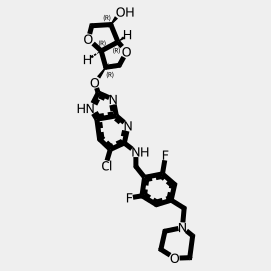 O[C@@H]1CO[C@H]2[C@@H]1OC[C@H]2Oc1nc2nc(NCc3c(F)cc(CN4CCOCC4)cc3F)c(Cl)cc2[nH]1